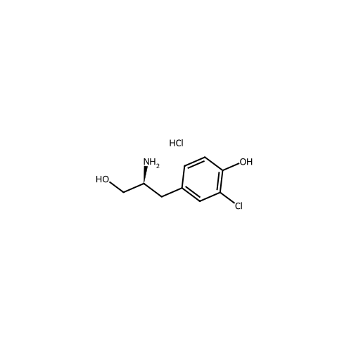 Cl.N[C@H](CO)Cc1ccc(O)c(Cl)c1